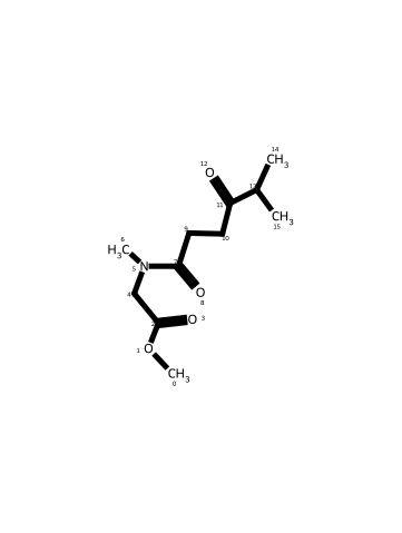 COC(=O)CN(C)C(=O)CCC(=O)C(C)C